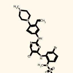 C=Cc1cc(Nc2ncc(Cl)c(Nc3cc(Br)ccc3N(C)S(C)(=O)=O)n2)ccc1N1CCN(C)CC1